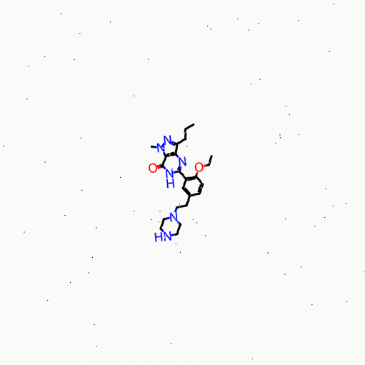 CCCc1nn(C)c2c(=O)[nH]c(-c3cc(CCN4CCNCC4)ccc3OCC)nc12